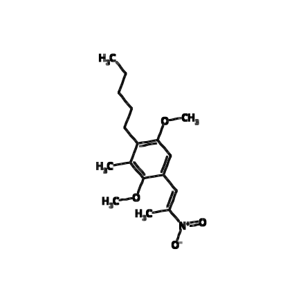 CCCCCc1c(OC)cc(/C=C(\C)[N+](=O)[O-])c(OC)c1C